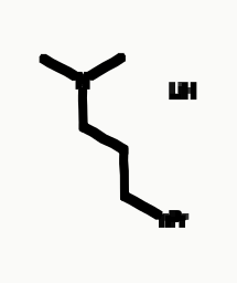 [CH2]CCCCCN(C)C.[LiH]